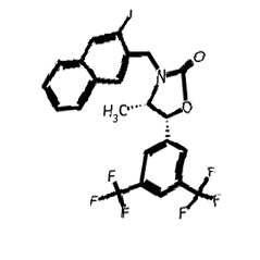 C[C@H]1[C@@H](c2cc(C(F)(F)F)cc(C(F)(F)F)c2)OC(=O)N1Cc1cc2ccccc2cc1I